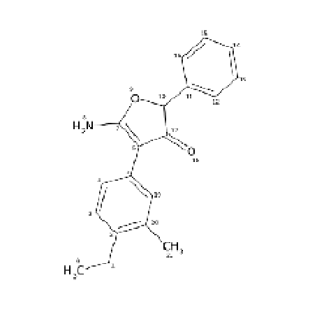 CCc1ccc(C2=C(N)OC(c3ccccc3)C2=O)cc1C